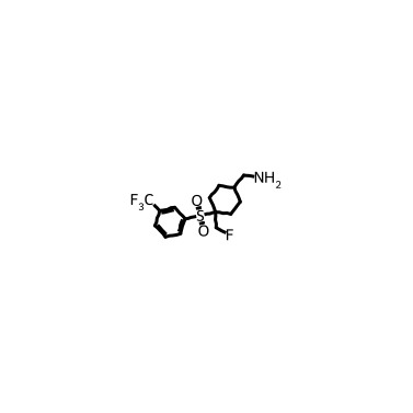 NCC1CCC(CF)(S(=O)(=O)c2cccc(C(F)(F)F)c2)CC1